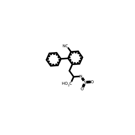 N#Cc1cccc(CC(N=S(=O)=O)C(=O)O)c1-c1ccccc1